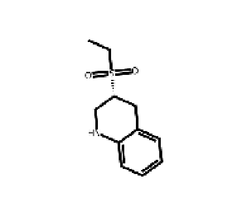 CCS(=O)(=O)[C@H]1CNc2ccccc2C1